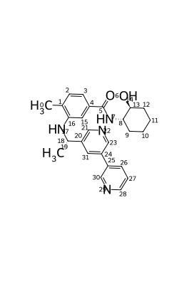 Cc1ccc(C(=O)N[C@H]2CCCC[C@@H]2O)cc1N[C@@H](C)c1cncc(-c2cccnc2)c1